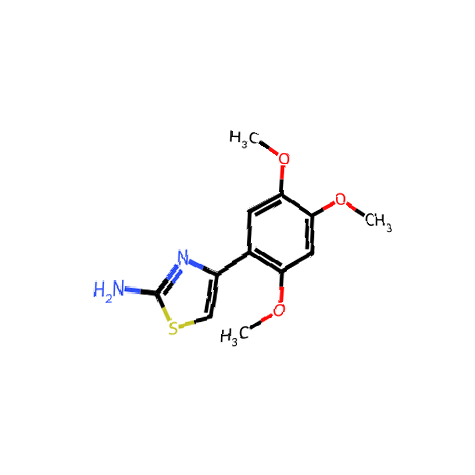 COc1cc(OC)c(-c2csc(N)n2)cc1OC